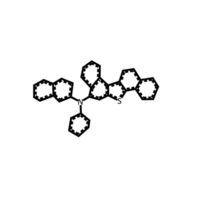 c1ccc(N(c2ccc3ccccc3c2)c2cc3sc4c5ccccc5ccc4c3c3ccccc23)cc1